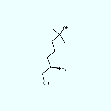 CC(C)(O)CCC[C@@H](N)CO